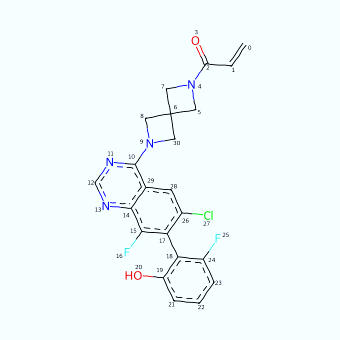 C=CC(=O)N1CC2(C1)CN(c1ncnc3c(F)c(-c4c(O)cccc4F)c(Cl)cc13)C2